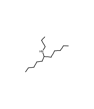 CCCCCC(CCCCC)NCCC